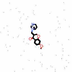 COc1ccc2c(c1)OC/C(=C\N1CCN3CCC1CC3)C2=O